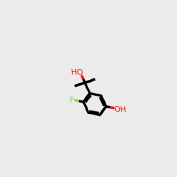 CC(C)(O)c1cc(O)ccc1F